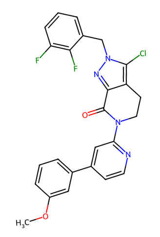 COc1cccc(-c2ccnc(N3CCc4c(nn(Cc5cccc(F)c5F)c4Cl)C3=O)c2)c1